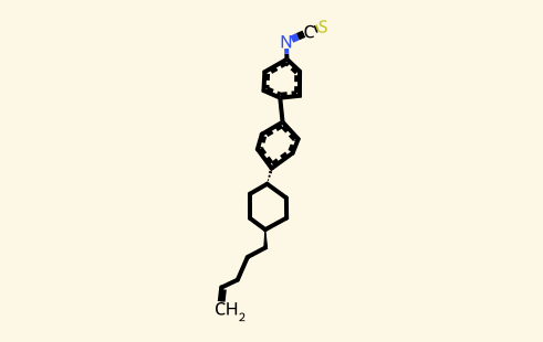 C=CCCC[C@H]1CC[C@H](c2ccc(-c3ccc(N=C=S)cc3)cc2)CC1